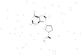 Nc1nc(F)nc2c1ncn2[C@@H]1CC[C@@H](C(=O)NO)C1